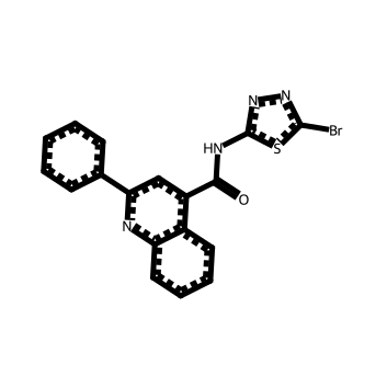 O=C(Nc1nnc(Br)s1)c1cc(-c2ccccc2)nc2ccccc12